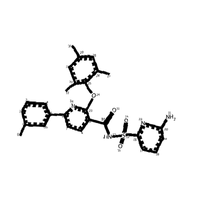 Cc1cccc(-c2ccc(C(=O)NS(=O)(=O)c3cccc(N)n3)c(Oc3c(C)cc(C)cc3C)n2)c1